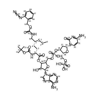 CSS[C@H](CC[C@@H](NC(=O)OC(C)(C)C)C(=O)OC1C(COP(=O)(O)O[C@H]2C[C@H](n3ccc(N)nc3=O)O[C@@H]2COP(=O)(O)O)OC(n2cnc3c(N)ncnc32)C1O)CNC(=O)OCc1ccccc1N=[N+]=[N-]